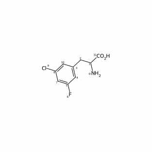 NC(Cc1cc(F)cc(Cl)c1)C(=O)O